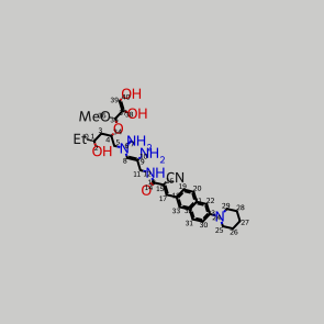 CC[C@H](O)CC(CN(N)/C=C(\N)CNC(=O)/C(C#N)=C/c1ccc2cc(N3CCCCC3)ccc2c1)O[C@H](OC)/C(O)=C/O